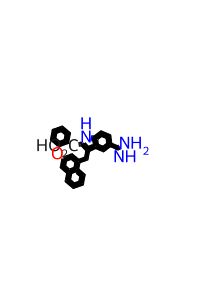 N=C(N)c1ccc2[nH]c(C(=O)O)c(Cc3cc(Oc4ccccc4)cc4ccccc34)c2c1